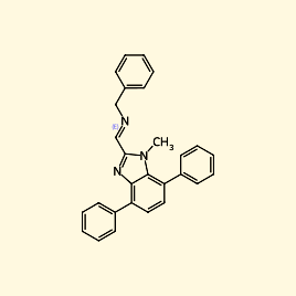 Cn1c(/C=N/Cc2ccccc2)nc2c(-c3ccccc3)ccc(-c3ccccc3)c21